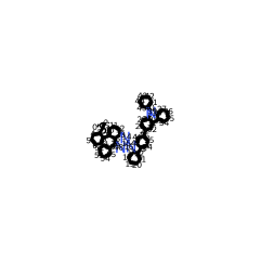 C[Si]1(C)c2ccccc2-c2c1ccc1nc(-n3c4ccccc4c4ccc(-c5ccc6c(c5)c5ccccc5n6-c5ccccc5)cc43)nc(-c3ccccc3)c21